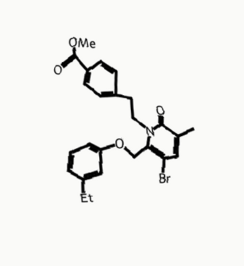 CCc1cccc(OCc2c(Br)cc(C)c(=O)n2CCc2ccc(C(=O)OC)cc2)c1